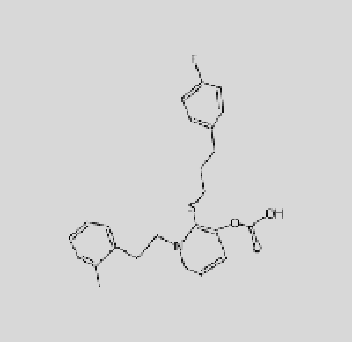 Cc1ccccc1CCN1CC=CC(OC(=O)O)=C1SCCCc1ccc(F)cc1